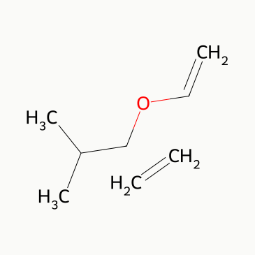 C=C.C=COCC(C)C